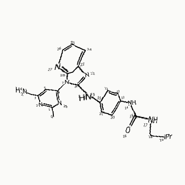 Cc1nc(N)cc(-n2c(Nc3ccc(NC(=O)NCC(C)C)cc3)nc3cccnc32)n1